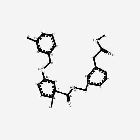 COC(=O)Cc1cccc(CNC(=O)c2cc(OCc3cccc(C)c3)ccc2C)c1